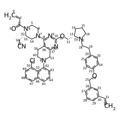 C=CC(=O)N1CCN(c2nc(OC[C@@H]3CCCN3CCc3ccc(OCc4cccc(C=C)c4)cc3)nc3c2CCN(c2cccc4cccc(Cl)c24)C3)C[C@@H]1CC#N